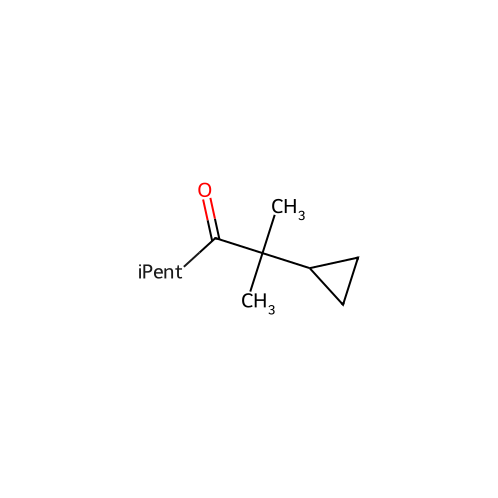 CCCC(C)C(=O)C(C)(C)C1CC1